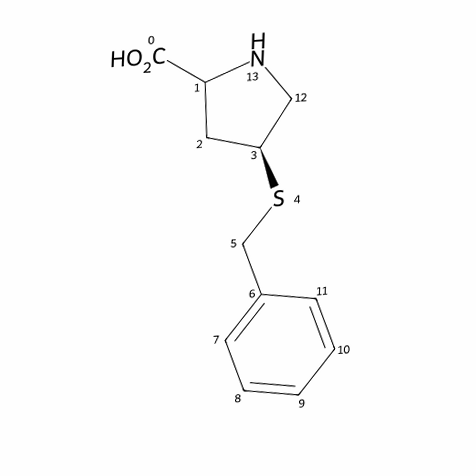 O=C(O)C1C[C@H](SCc2ccccc2)CN1